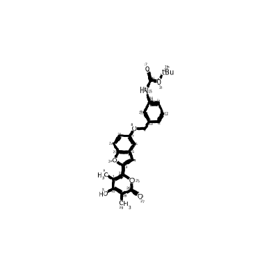 Cc1c(-c2cc3cc(OCc4cccc(NC(=O)OC(C)(C)C)c4)ccc3o2)oc(=O)c(C)c1O